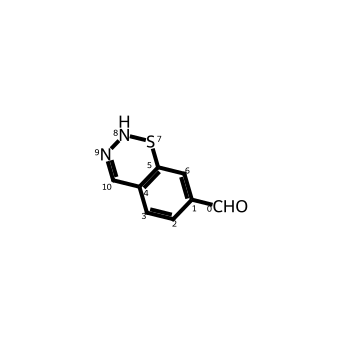 O=Cc1ccc2c(c1)SNN=C2